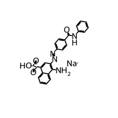 Nc1c(N=Nc2ccc(C(=O)Nc3ccccc3)cc2)cc(S(=O)(=O)O)c2ccccc12.[Na]